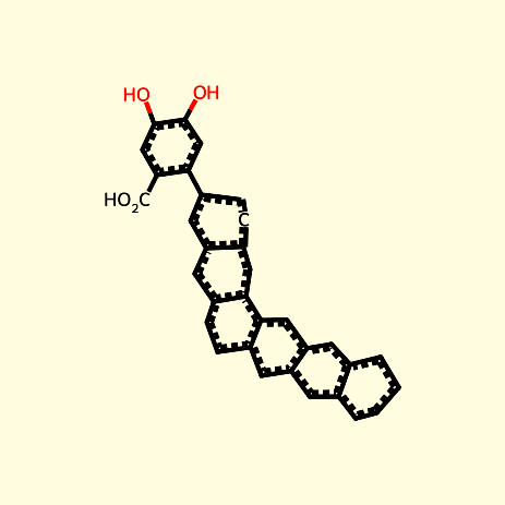 O=C(O)c1cc(O)c(O)cc1-c1ccc2cc3c(ccc4cc5cc6ccccc6cc5cc43)cc2c1